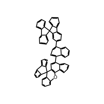 c1ccc2c(c1)Oc1c(cc(-c3ccc(-c4ccc5c(c4)C4(c6ccccc6-c6ccccc64)c4ccccc4-5)c4ccccc34)c3ccccc13)C21c2ccccc2-c2ccccc21